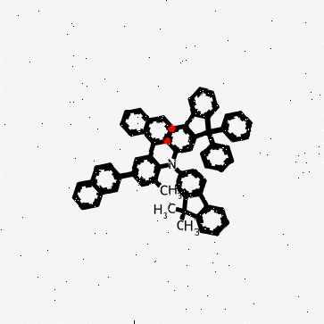 Cc1cc(-c2ccc3ccccc3c2)cc(-c2cccc3ccccc23)c1N(c1ccc2c(c1)C(C)(C)c1ccccc1-2)c1ccc2c(c1)C(c1ccccc1)(c1ccccc1)c1ccccc1-2